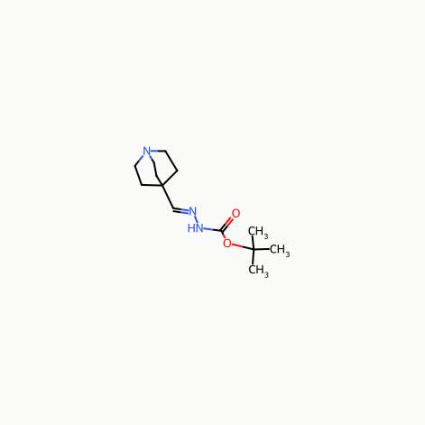 CC(C)(C)OC(=O)N/N=C/C12CCN(CC1)CC2